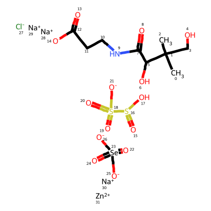 CC(C)(CO)C(O)C(=O)NCCC(=O)[O-].O=S(O)S(=O)(=O)[O-].O=[Se](=O)([O-])[O-].[Cl-].[Na+].[Na+].[Na+].[Zn+2]